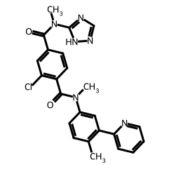 Cc1ccc(N(C)C(=O)c2ccc(C(=O)N(C)c3ncn[nH]3)cc2Cl)cc1-c1ccccn1